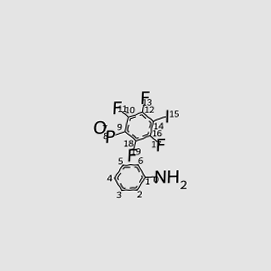 Nc1ccccc1.O=Pc1c(F)c(F)c(I)c(F)c1F